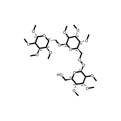 COC1[C@H](OC)O[C@H](CO[C@@H]2O[C@H](COO[C@@H]3O[C@H](CO)[C@@H](OC)[C@@H](OC)C3OC)[C@@H](OC)[C@@H](OC)C2OC)[C@@H](OC)[C@H]1OC